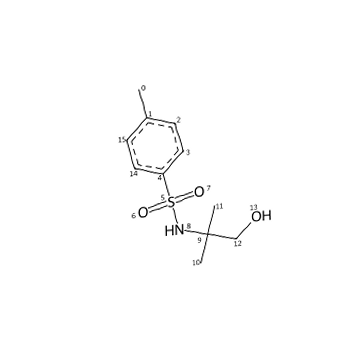 Cc1ccc(S(=O)(=O)NC(C)(C)CO)cc1